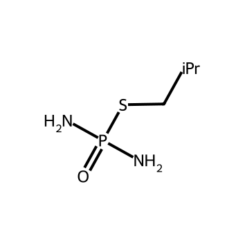 CC(C)CSP(N)(N)=O